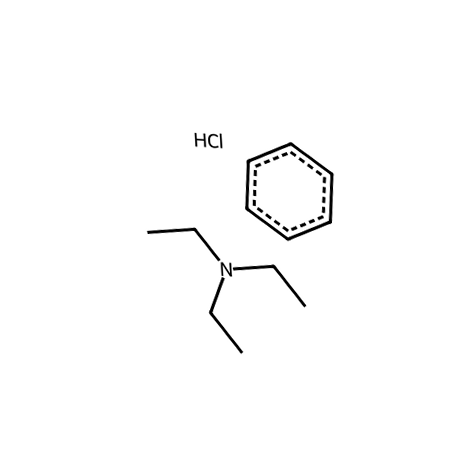 CCN(CC)CC.Cl.c1ccccc1